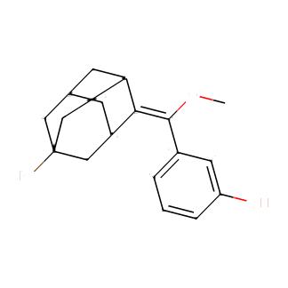 COC(=C1C2CC3CC1CC(Br)(C3)C2)c1cccc(O)c1